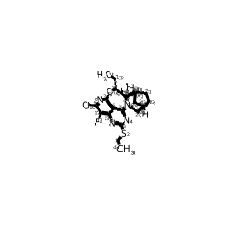 CCSc1nc2c3c(nc(Cl)c(F)c3n1)O[C@@H](CC)[C@@H]1[C@@H]3CC[C@@H](C3)CN21